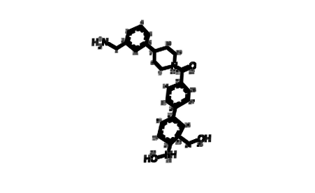 NCc1cccc(C2CCN(C(=O)c3ccc(-c4ccc(BO)c(CO)c4)cc3)CC2)c1